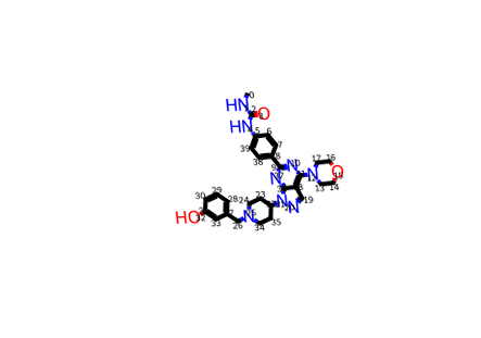 CNC(=O)Nc1ccc(-c2nc(N3CCOCC3)c3cnn(C4CCN(Cc5cccc(O)c5)CC4)c3n2)cc1